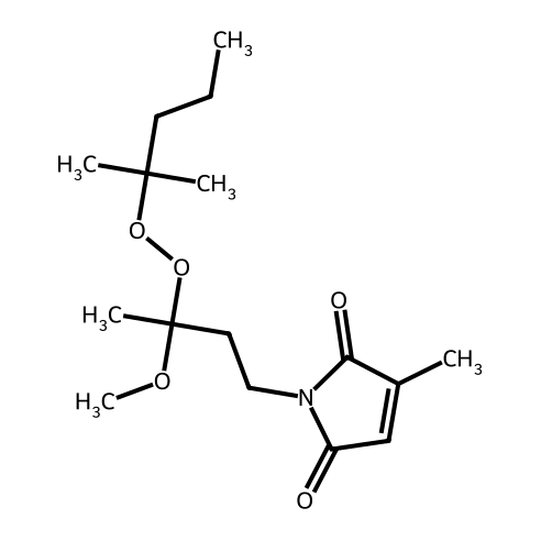 CCCC(C)(C)OOC(C)(CCN1C(=O)C=C(C)C1=O)OC